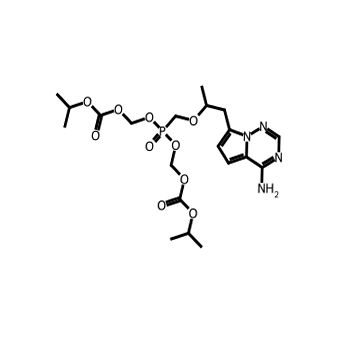 CC(C)OC(=O)OCOP(=O)(COC(C)Cc1ccc2c(N)ncnn12)OCOC(=O)OC(C)C